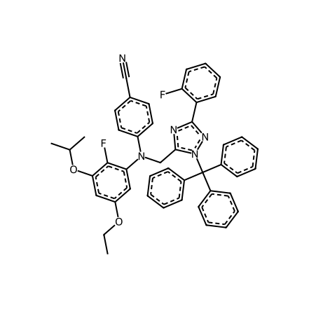 CCOc1cc(OC(C)C)c(F)c(N(Cc2nc(-c3ccccc3F)nn2C(c2ccccc2)(c2ccccc2)c2ccccc2)c2ccc(C#N)cc2)c1